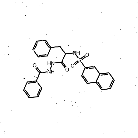 O=C(NNC(=O)C(Cc1ccccc1)NS(=O)(=O)c1ccc2ccccc2c1)c1ccccc1